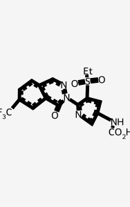 CCS(=O)(=O)c1cc(NC(=O)O)cnc1-n1ncc2ccc(C(F)(F)F)cc2c1=O